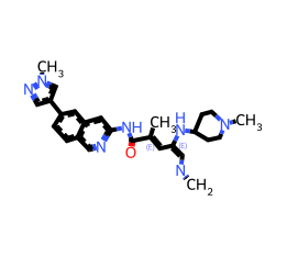 C=N/C=C(\C=C(/C)C(=O)Nc1cc2cc(-c3cnn(C)c3)ccc2cn1)NC1CCN(C)CC1